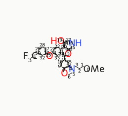 COCCCN1CCOc2ccc(CO[C@H]3CNC[C@@H](O)[C@@H]3c3ccc(Oc4cccc(C(F)(F)F)c4)cc3)cc21